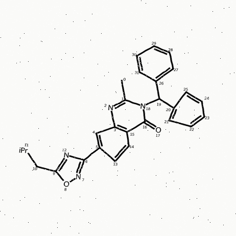 Cc1nc2cc(-c3noc(CC(C)C)n3)ccc2c(=O)n1C(c1ccccc1)c1ccccc1